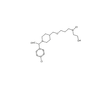 CCN(CCO)CCCOCC1CCN(C(C=O)c2ccc(Cl)cc2)CC1